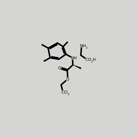 Cc1cc(C)c(N[C@@H](C)C(=O)OCC(Cl)(Cl)Cl)cc1C.NCC(=O)O